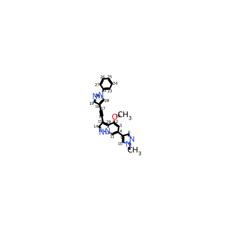 COc1cc(-c2cnn(C)c2)cn2ncc(C#Cc3cnn(-c4ccccc4)c3)c12